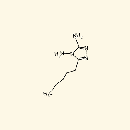 CCCCCc1nnc(N)n1N